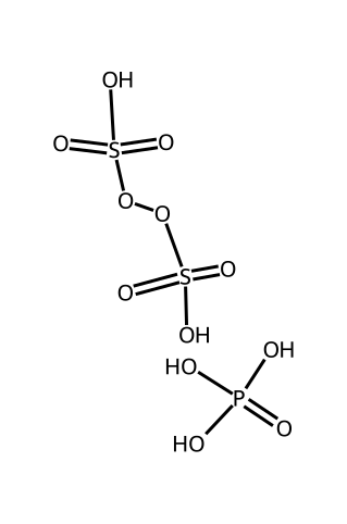 O=P(O)(O)O.O=S(=O)(O)OOS(=O)(=O)O